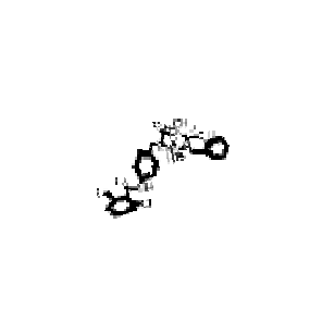 COC(=O)[C@H](Cc1ccc(NC(=O)c2c(Cl)cccc2Cl)cc1)NS(=O)(=O)N(Cc1ccccc1)C(C)C